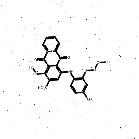 Cc1ccc(Nc2cc(S(=O)(=O)O)c(NC(C)C)c3c2C(=O)c2ccccc2C3=O)c(SOOO)c1